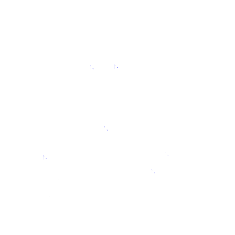 c1ccc2nc(-c3ccc(N(c4ccc(-c5ncc6ccccc6n5)cc4)c4ccc(-c5nccc6sc7ccccc7c56)cc4)cc3)ncc2c1